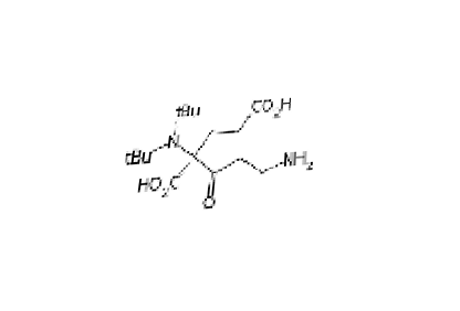 CC(C)(C)N(C(C)(C)C)[C@](CCC(=O)O)(C(=O)O)C(=O)CCN